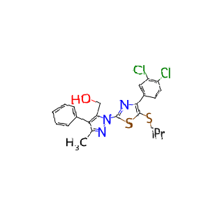 Cc1nn(-c2nc(-c3ccc(Cl)c(Cl)c3)c(SC(C)C)s2)c(CO)c1-c1ccccc1